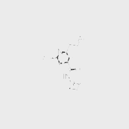 CC(=O)CCc1cc(C(=O)NN2CCC2)cc(C(C)=O)n1